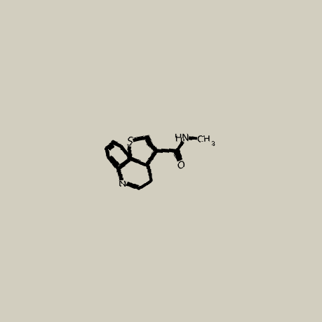 CNC(=O)C1CSC23CC=CC=C2N=CCC13